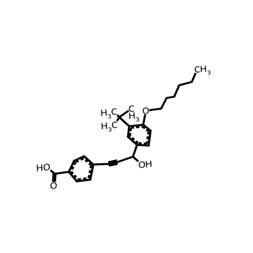 CCCCCCOc1ccc(C(O)C#Cc2ccc(C(=O)O)cc2)cc1C(C)(C)C